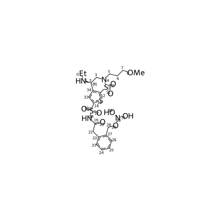 CCN[C@H]1CN(CCCOC)S(=O)(=O)c2sc(S(=O)(=O)NC(=O)Cc3ccccc3CON(O)O)cc21